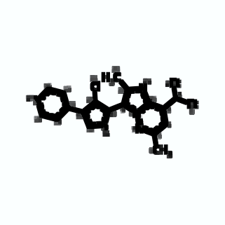 CCC(CC)c1cc(C)nn2c(-c3scc(-c4ccncc4)c3Cl)c(C)nc12